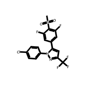 CS(=O)(=O)c1c(F)cc(-c2cc(C(F)(F)F)nn2-c2ccc(Cl)cc2)cc1F